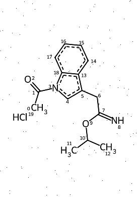 CC(=O)n1cc(CC(=N)OC(C)C)c2ccccc21.Cl